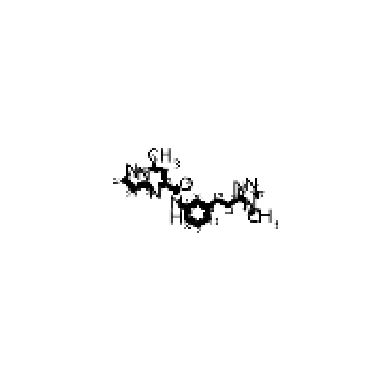 Cc1cc(C(=O)Nc2cccc(CCc3nncn3C)c2)nc2ccnn12